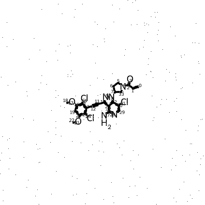 C=CC(=O)N1CCC(n2nc(C#Cc3c(Cl)c(OC)cc(OC)c3Cl)c3c(N)ncc(Cl)c32)C1